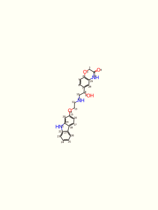 O=C1COc2ccc(C(O)CNCCOc3ccc4c(c3)[nH]c3ccccc34)cc2N1